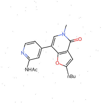 CCCCc1cc2c(=O)n(C)cc(-c3ccnc(NC(C)=O)c3)c2o1